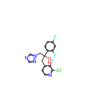 OC(Cc1ccnc(Cl)c1F)(Cn1cncn1)c1ccc(F)cc1F